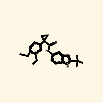 CCc1ccc(C2(C(=O)Nc3ccc4[nH]c(C(C)(C)C)cc4c3)CC2)cc1CC